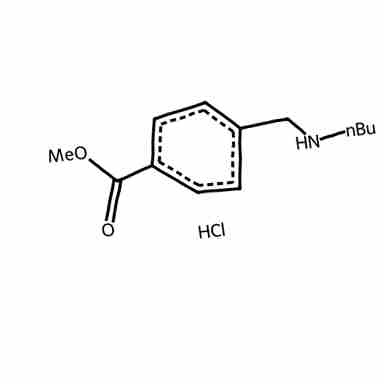 CCCCNCc1ccc(C(=O)OC)cc1.Cl